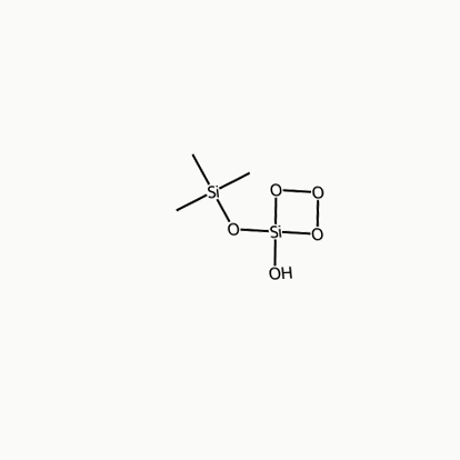 C[Si](C)(C)O[Si]1(O)OOO1